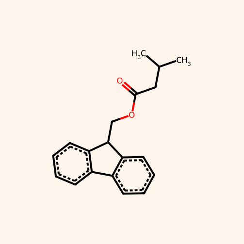 CC(C)CC(=O)OCC1c2ccccc2-c2ccccc21